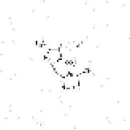 Cc1ccnc(Sc2nc(C)c(CC(=O)O)s2)c1C(=O)O